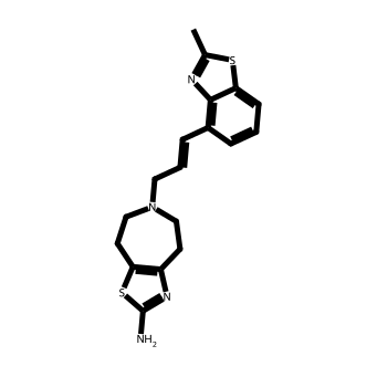 Cc1nc2c(C=CCN3CCc4nc(N)sc4CC3)cccc2s1